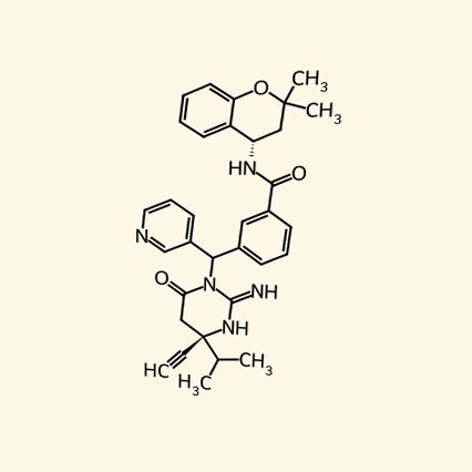 C#C[C@@]1(C(C)C)CC(=O)N(C(c2cccnc2)c2cccc(C(=O)N[C@H]3CC(C)(C)Oc4ccccc43)c2)C(=N)N1